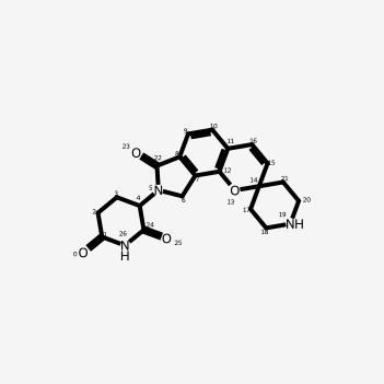 O=C1CCC(N2Cc3c(ccc4c3OC3(C=C4)CCNCC3)C2=O)C(=O)N1